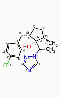 CC(n1cncn1)[C@@]1(O)[C@H](Cc2ccc(Cl)cc2)CC[C@H]1C